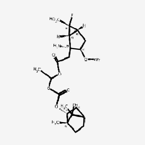 CCCO[C@@H]1C[C@@H]2[C@H]([C@]1(N)CC(=O)OC(C)OC(=O)O[C@@H]1CC3CC[C@@]1(C)C3(C)C)[C@@]2(F)C(=O)O